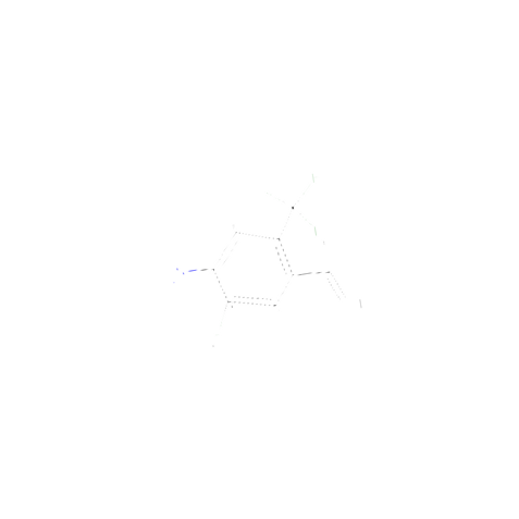 C=Cc1cc(F)c(N)cc1C(F)(F)F